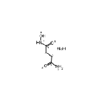 NC(=O)CCC(=O)NO.[NaH]